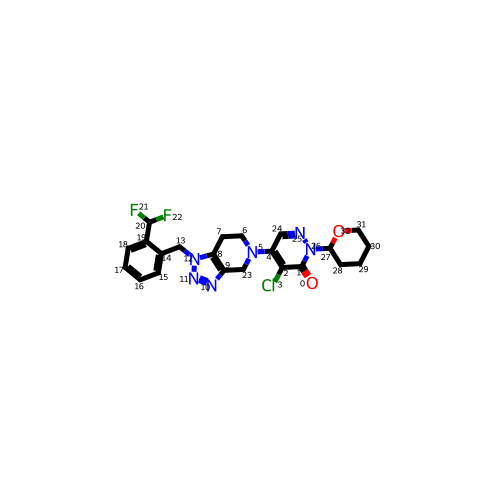 O=c1c(Cl)c(N2CCc3c(nnn3Cc3ccccc3C(F)F)C2)cnn1C1CCCCO1